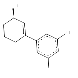 Cc1cc(C)cc(C2=C[C@H](O)CCC2)c1